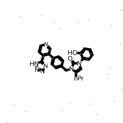 CCCc1cn(-c2ccccc2O)c(=O)n1Cc1ccc(-c2cnccc2-c2nnn[nH]2)cc1